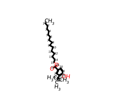 CCCCCCCCCCCCCCCCOC(=O)c1ccc(O)c(C(C)(C)C)c1